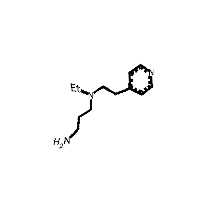 CCN(CCCN)CCc1ccncc1